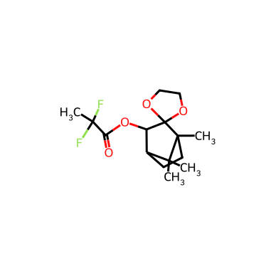 CC(F)(F)C(=O)OC1C2CCC(C)(C2(C)C)C12OCCO2